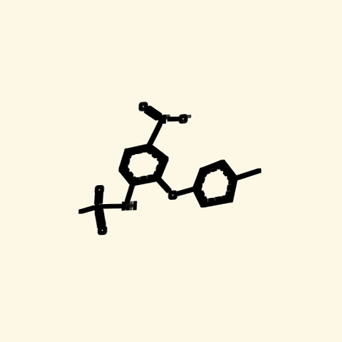 Cc1ccc(Oc2cc([N+](=O)[O-])ccc2NS(C)(=O)=O)cc1